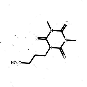 Cn1c(=O)n(C)c(=O)n(CCCC(=O)O)c1=O